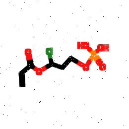 C=CC(=O)OC(Cl)CCOP(=O)(O)O